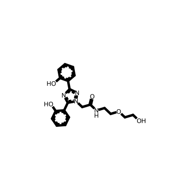 O=C(Cn1nc(-c2ccccc2O)nc1-c1ccccc1O)NCCOCCO